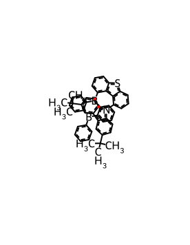 CC(C)(C)c1ccc2c(c1)c1cc(C(C)(C)C)ccc1n2-c1cccc2sc3cccc(B4c5ccccc5B(c5ccccc5)c5ccccc54)c3c12